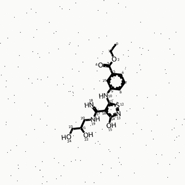 CCOC(=O)c1cccc(Nc2snc(O)c2C(=N)NCC(O)CO)c1